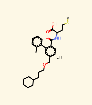 CSCCC(NC(=O)c1ccc(COCCCC2CCCCC2)cc1-c1ccccc1C)C(=O)O.[LiH]